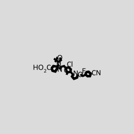 Cc1cc(Cc2nc3ccc(C(=O)O)cc3n2[C@@H]2COCC2(C)C)c(Cl)cc1-c1cccc(OCc2ccc(C#N)cc2F)n1